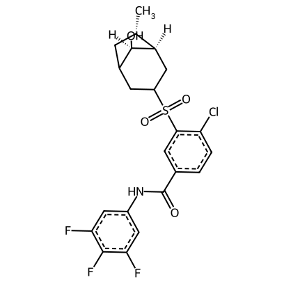 C[C@H]1CC2CC(S(=O)(=O)c3cc(C(=O)Nc4cc(F)c(F)c(F)c4)ccc3Cl)C[C@H]1[C@@H]2O